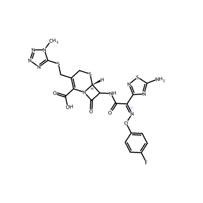 Cn1nnnc1SCC1=C(C(=O)O)N2C(=O)C(NC(=O)/C(=N\Oc3ccc(F)cc3)c3nsc(N)n3)[C@H]2SC1